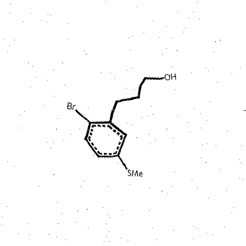 CSc1ccc(Br)c(CCCO)c1